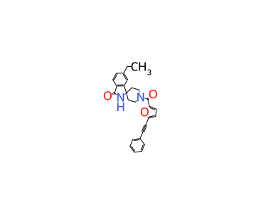 CCc1ccc2c(c1)C1(CCN(C(=O)c3ccc(C#Cc4ccccc4)o3)CC1)NC2=O